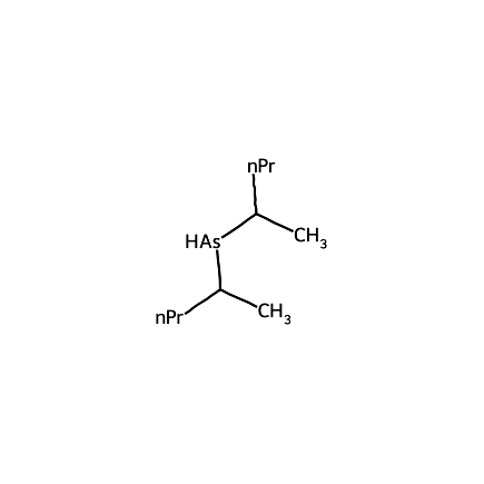 CCCC(C)[AsH]C(C)CCC